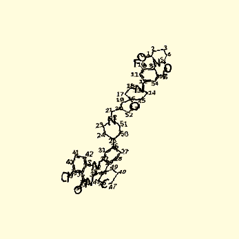 O=C1CCCC(=O)N1c1c(F)cc(N2CCC3(CC2)CC(CN2CCC(c4ccc5c(c4)-n4c(nc(=O)c6c(Cl)cccc64)C54CCCCC4)CC2)CO3)cc1F